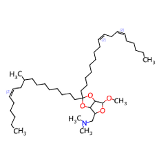 CCCCC/C=C\C/C=C\CCCCCCCCC1(CCCCCCCCC(C)C/C=C\CCCCC)OC2C(CN(C)C)OC(OC)C2O1